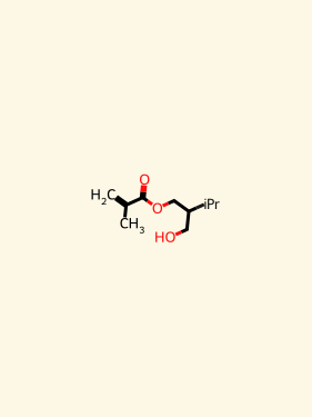 C=C(C)C(=O)OCC(CO)C(C)C